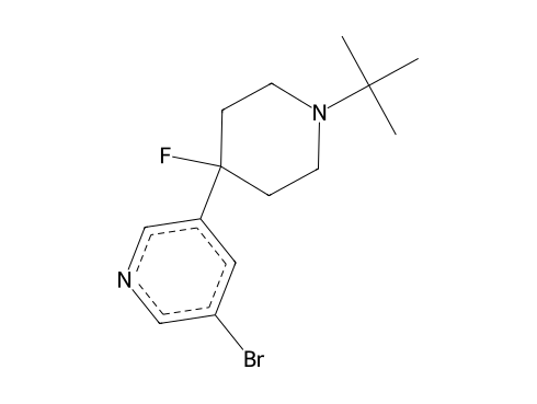 CC(C)(C)N1CCC(F)(c2cncc(Br)c2)CC1